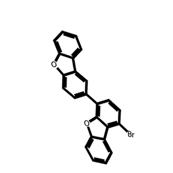 Brc1ccc(-c2ccc3oc4ccccc4c3c2)c2oc3ccccc3c12